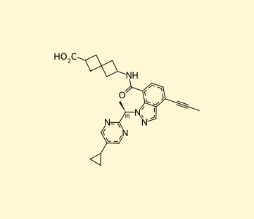 CC#Cc1ccc(C(=O)NC2CC3(C2)CC(C(=O)O)C3)c2c1cnn2[C@H](C)c1ncc(C2CC2)cn1